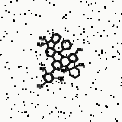 Cc1cc(C)c(-c2cc3c4c(c2)N2c5c(cc(C(C)(C)C)cc5C5(C)CCCCC25C)B4N(c2ccccc2)c2c-3ccc3c2-c2ccccc2C3(C)C)c(C)c1